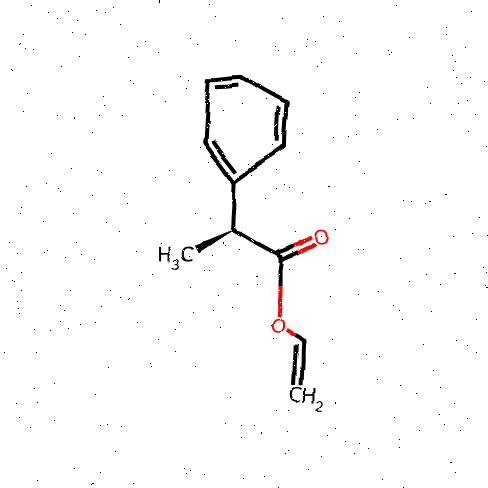 C=COC(=O)[C@@H](C)c1ccccc1